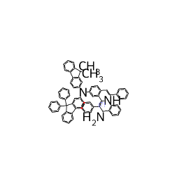 CC1(C)c2ccccc2-c2ccc(N(c3ccc4c(c3)/C(=C(\c3ccccc3)C(N)c3ccccc3)NC(c3ccccc3)=C4)c3ccc4c(c3)C(c3ccccc3)(c3ccccc3)c3ccccc3-4)cc21